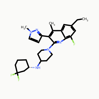 CCc1cc(F)c2nc(N3CCC(N[C@H]4CCCC(F)(F)C4)CC3)c(-c3ccn(C)n3)c(C)c2c1